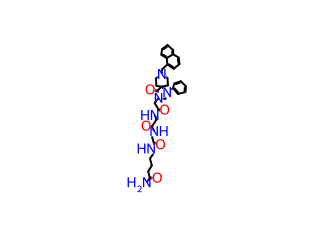 NC(=O)CCCCNC(=O)CNC(=O)CNC(=O)CN1CN(c2ccccc2)C2(CCN(Cc3cccc4ccccc34)CC2)C1=O